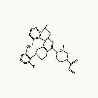 C=CC(=O)N1CCN(C2=NC3OC(C)c4nccc(C)c4N3C3=C2CCN(c2c(O)cccc2F)C3)[C@@H](C)C1